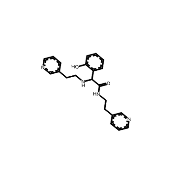 O=C(NCCc1cccnc1)C(NCCc1cccnc1)c1ccccc1O